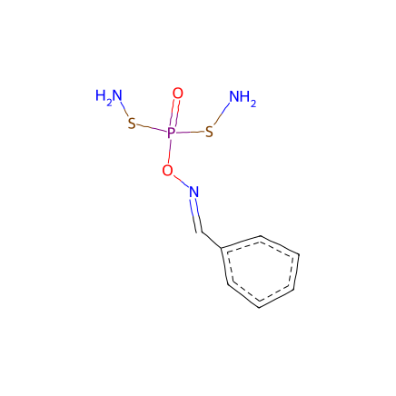 NSP(=O)(ON=Cc1ccccc1)SN